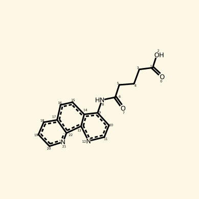 O=C(O)CCCC(=O)Nc1ccnc2c1ccc1cccnc12